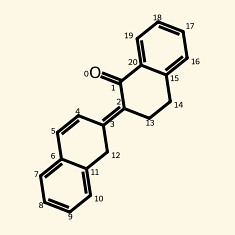 O=C1C(=C2C=Cc3ccccc3C2)CCc2ccccc21